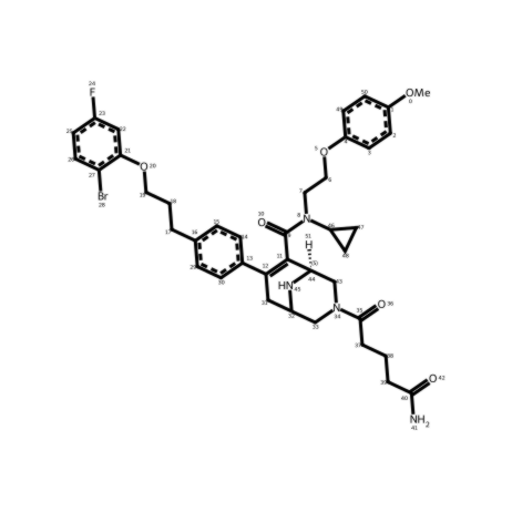 COc1ccc(OCCN(C(=O)C2=C(c3ccc(CCCOc4cc(F)ccc4Br)cc3)CC3CN(C(=O)CCCC(N)=O)C[C@H]2N3)C2CC2)cc1